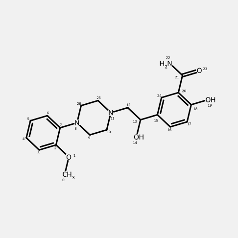 COc1ccccc1N1CCN(CC(O)c2ccc(O)c(C(N)=O)c2)CC1